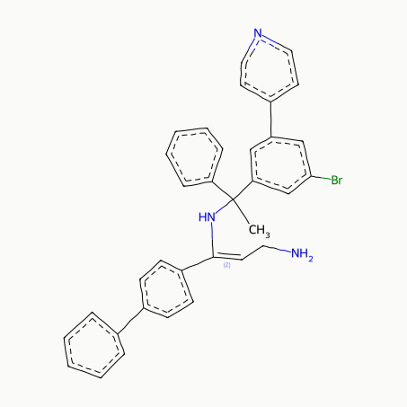 CC(N/C(=C\CN)c1ccc(-c2ccccc2)cc1)(c1ccccc1)c1cc(Br)cc(-c2ccncc2)c1